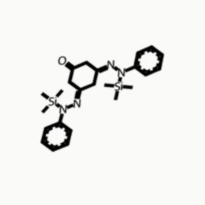 C[Si](C)(C)N(N=C1CC(=O)CC(=NN(c2ccccc2)[Si](C)(C)C)C1)c1ccccc1